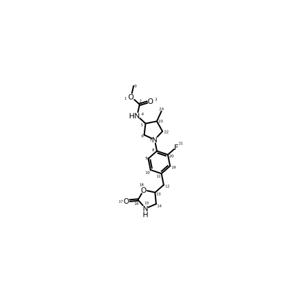 COC(=O)NC1CN(c2ccc(CC3CNC(=O)O3)cc2F)CC1C